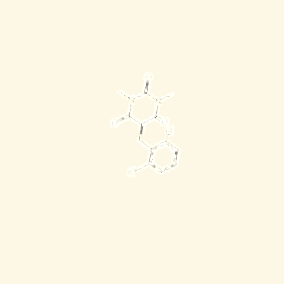 CN1C(=O)C(=Cc2c(Cl)cccc2Cl)C(=O)N(C)C1=O